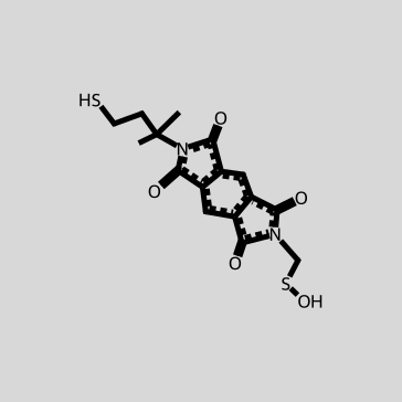 CC(C)(CCS)n1c(=O)c2cc3c(=O)n(CSO)c(=O)c3cc2c1=O